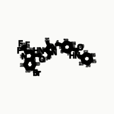 Cc1nn(Cc2ccc(C(=O)Nc3ccccc3)cc2)c(C)c1NC(=O)c1cc(C(F)(F)F)nc2ccc(Br)cc12